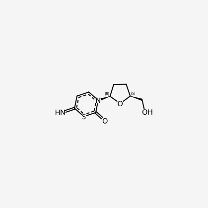 N=c1ccn([C@H]2CC[C@@H](CO)O2)c(=O)s1